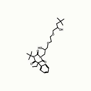 CCC1(c2ccccc2)C(=O)N(CC(O)COCCOCC(O)CC(C)(C)C)C(=O)N(C(C)(C)C)C1=O